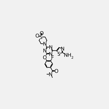 CN(C)C(=O)c1ccc(Oc2nc(-c3cnc(N)s3)nc(N3CCS(=O)(=O)CC3)n2)c(F)c1